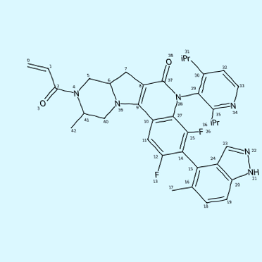 C=CC(=O)N1CC2Cc3c(c4cc(F)c(-c5c(C)ccc6[nH]ncc56)c(F)c4n(-c4c(C(C)C)ccnc4C(C)C)c3=O)N2CC1C